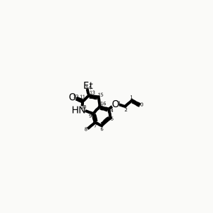 C=CCOc1ccc(C)c2[nH]c(=O)c(CC)cc12